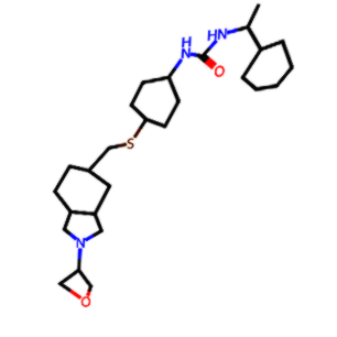 CC(NC(=O)NC1CCC(SCC2CCC3CN(C4COC4)CC3C2)CC1)C1CCCCC1